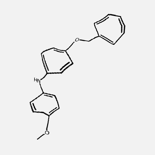 COc1ccc(Nc2ccc(OCc3ccccc3)cc2)cc1